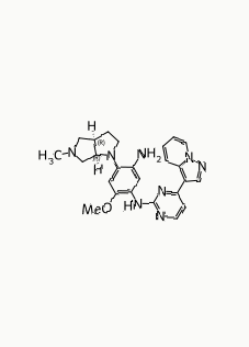 COc1cc(N2CC[C@@H]3CN(C)C[C@@H]32)c(N)cc1Nc1nccc(-c2cnn3ccccc23)n1